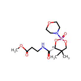 COC(=O)CCNC(=O)[C@@H]1OP(=O)(N2CCOCC2)OCC1(C)C